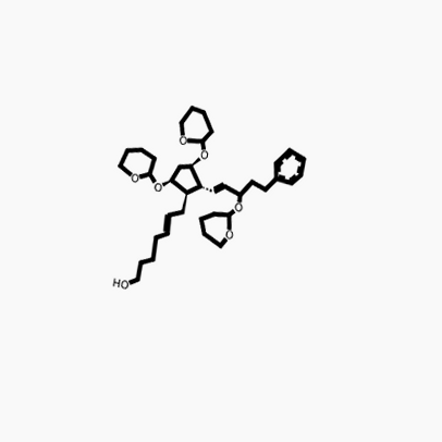 OCCCCC=CC[C@@H]1[C@@H](C=CC(CCc2ccccc2)OC2CCCCO2)[C@H](OC2CCCCO2)C[C@@H]1OC1CCCCO1